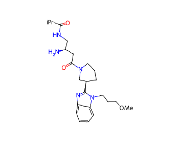 COCCCn1c([C@@H]2CCCN(C(=O)C[C@@H](N)CNC(=O)C(C)C)C2)nc2ccccc21